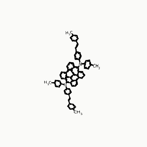 Cc1ccc(/C=C/c2ccc(N(c3ccc(C)cc3)c3c4cccc5c6cccc7c(N(c8ccc(C)cc8)c8ccc(/C=C/c9ccc(C)cc9)cc8)c8cccc9c%10cccc3c%10c(c45)c(c76)c89)cc2)cc1